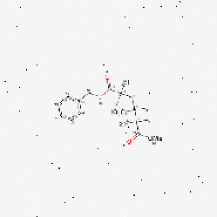 CCC(C)(CC(C)(C(=O)O)C(C)(CC)C(=O)OC)C(=O)OCc1ccccc1